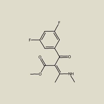 CNC(C)=C(C(=O)OC)C(=O)c1cc(F)cc(F)c1